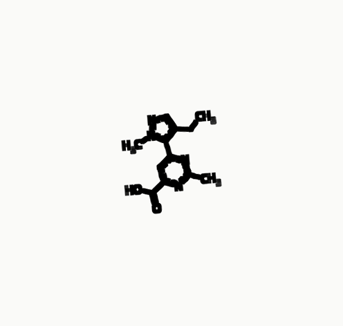 CCc1cnn(C)c1-c1cc(C(=O)O)nc(C)n1